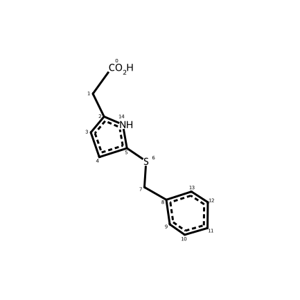 O=C(O)Cc1ccc(SCc2ccccc2)[nH]1